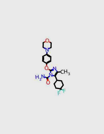 Cc1nc(Oc2ccc(N3CCOCC3)cc2)n(C(N)=O)c1C1CCC(F)(F)CC1